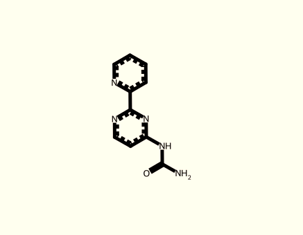 NC(=O)Nc1ccnc(-c2ccccn2)n1